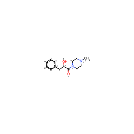 CN1CCN(C(=O)C(O)Cc2ccccc2)CC1